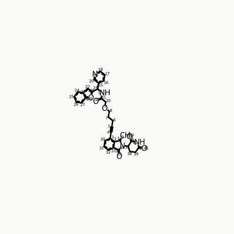 C=C1c2c(C#CCCCOCC(=O)NC(c3cccnc3)c3cc4ccccc4o3)cccc2C(=O)N1C1CCC(=O)NC1=O